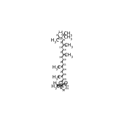 CC1=CCCC(C)(C)C1/C=C/C(C)=C/C=C/C(C)=C/C=C/C=C(C)/C=C/C=C(C)/C=C/C12OC1(C)CCCC2(C)C